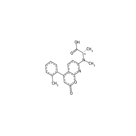 Cc1ccccc1-c1cc(=O)oc2nc(N(C)[C@@H](C)C(=O)O)ccc12